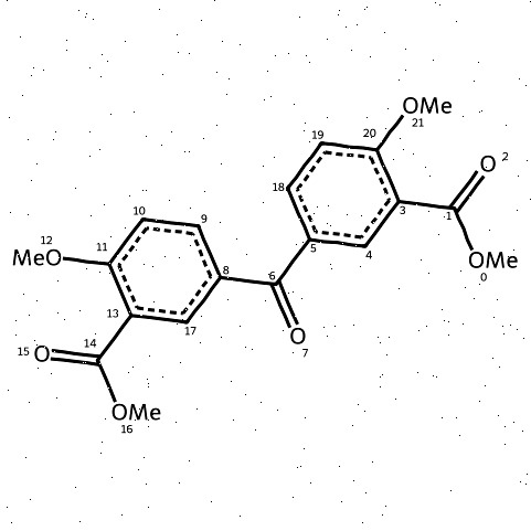 COC(=O)c1cc(C(=O)c2ccc(OC)c(C(=O)OC)c2)ccc1OC